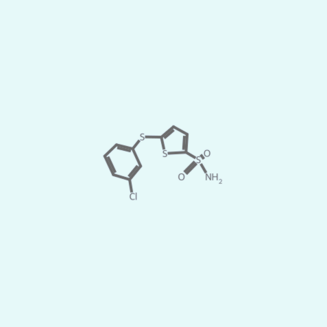 NS(=O)(=O)c1ccc(Sc2cccc(Cl)c2)s1